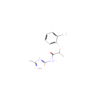 Cc1noc(NC(=O)C(C)Oc2ccccc2C(F)(F)F)n1